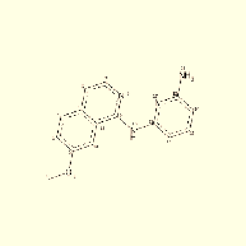 COc1ccc2ccnc(Nc3cccc(N)n3)c2c1